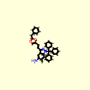 Nc1cc2c(C=CC3=COC(Cc4ccccc4)O3)nn(C(c3ccccc3)(c3ccccc3)c3ccccc3)c2cc1F